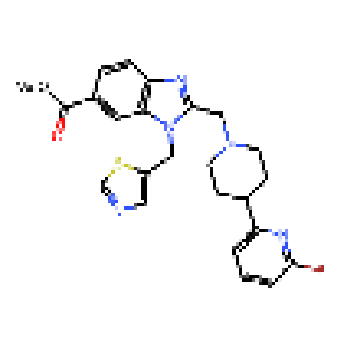 COC(=O)c1ccc2nc(CN3CCC(c4cccc(Br)n4)CC3)n(Cc3cncs3)c2c1